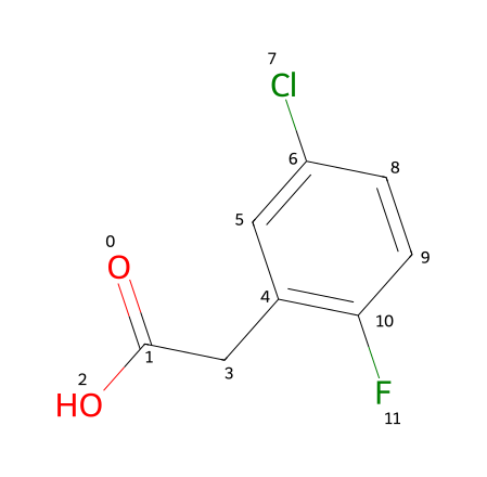 O=C(O)Cc1cc(Cl)ccc1F